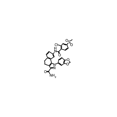 CS(=O)(=O)c1ccc(C(=O)Nc2ccc3c(c2)-c2c(c(C(N)=O)nn2-c2ccc4c(c2)OCO4)CC3)c(Cl)c1